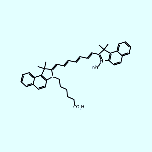 CCC[N+]1=C(/C=C/C=C/C=C/C=C2\N(CCCCCC(=O)O)c3ccc4ccccc4c3C2(C)C)C(C)(C)c2c1ccc1ccccc21